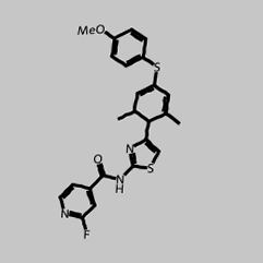 COc1ccc(SC2=CC(C)C(c3csc(NC(=O)c4ccnc(F)c4)n3)C(C)=C2)cc1